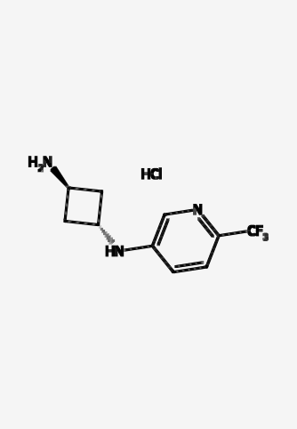 Cl.N[C@H]1C[C@H](Nc2ccc(C(F)(F)F)nc2)C1